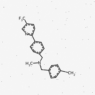 [CH2]c1ccc(CN(C)Cc2ccc(-c3ccc(C(F)(F)F)cn3)cc2)cc1